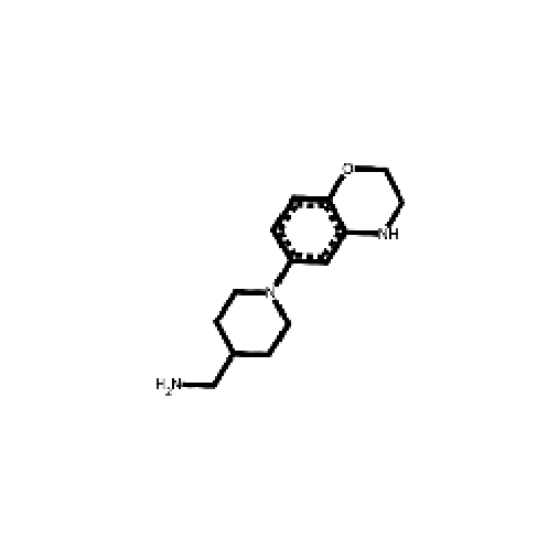 NCC1CCN(c2ccc3c(c2)NCCO3)CC1